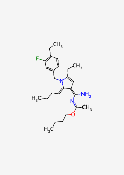 CCC/C=c1/c(=C(N)\N=C(/C)OCCCC)cc(CC)n1Cc1ccc(CC)c(F)c1